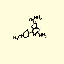 CN1CCC(c2nc(N)nc3c2CN(C(N)=O)C3)CC1